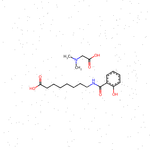 CN(C)CC(=O)O.O=C(O)CCCCCCCNC(=O)c1ccccc1O